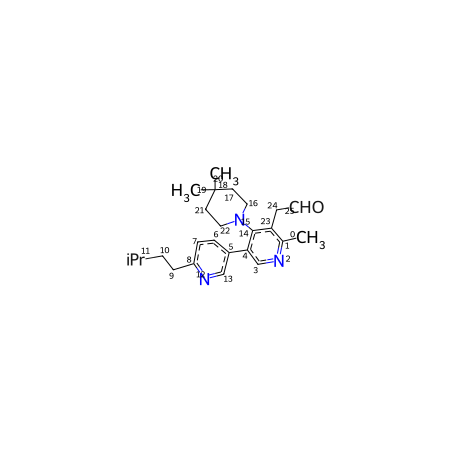 Cc1ncc(-c2ccc(CCC(C)C)nc2)c(N2CCC(C)(C)CC2)c1CC=O